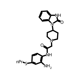 CCCSc1ccc(NC(=O)CN2CCC(n3c(=O)[nH]c4ccccc43)CC2)c(N)c1